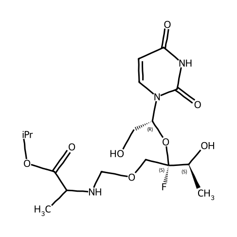 CC(C)OC(=O)C(C)NCOC[C@@](F)(O[C@H](CO)n1ccc(=O)[nH]c1=O)[C@H](C)O